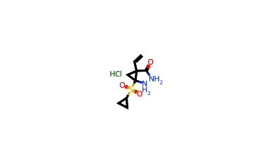 C=CC1(C(N)=O)CC1(N)S(=O)(=O)C1CC1.Cl